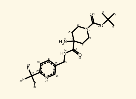 CC(C)(C)OC(=O)N1CCC(N)(C(=O)NCc2ccc(C(F)(F)F)nc2)CC1